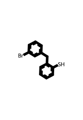 Sc1ccccc1Cc1cccc(Br)c1